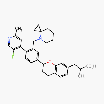 Cc1cc(-c2ccc(C3CCc4ccc(CC(C)C(=O)O)cc4O3)cc2CN2CCCCC23CC3)c(F)cn1